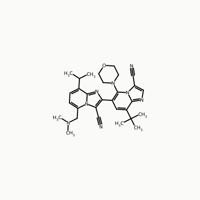 CC(C)c1ccc(CN(C)C)n2c(C#N)c(-c3cc(C(C)(C)C)c4ncc(C#N)n4c3N3CCOCC3)nc12